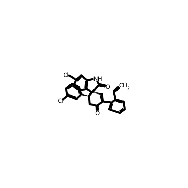 C=Cc1ccccc1C1=C[C@@]2(C(=O)Nc3cc(Cl)ccc32)[C@H](c2cccc(Cl)c2)CC1=O